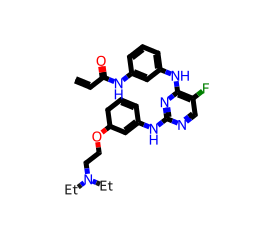 C=CC(=O)Nc1cccc(Nc2nc(NC3=CC(OCCN(CC)CC)CC=C3)ncc2F)c1